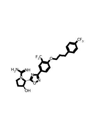 N=C(N)N1CC[C@H](O)[C@H]1c1nc(-c2ccc(OCCCc3ccc(C(F)(F)F)cc3)c(C(F)(F)F)c2)no1